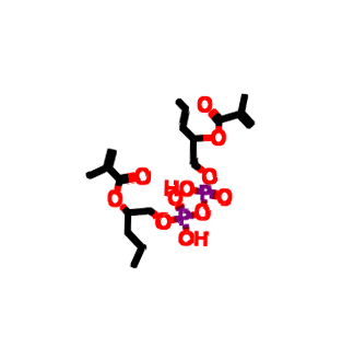 C=C(C)C(=O)OC(CCC)COP(=O)(O)OP(=O)(O)OCC(CCC)OC(=O)C(=C)C